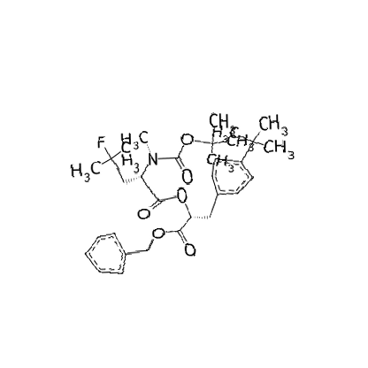 CN(C(=O)OC(C)(C)C)[C@@H](CC(C)(C)F)C(=O)O[C@H](Cc1ccc(C(C)(C)C)cc1)C(=O)OCc1ccccc1